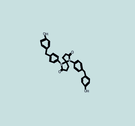 O=C1CCC2(CCC(=O)N2c2ccc(Cc3ccc(O)cc3)cc2)N1c1ccc(Cc2ccc(O)cc2)cc1